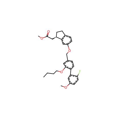 CCCCOc1cc(COc2ccc3c(c2)[C@@H](CC(=O)OC)CC3)ccc1-c1cc(OC)ccc1F